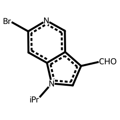 CC(C)n1cc(C=O)c2cnc(Br)cc21